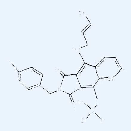 CC/C=C/COc1c2c(c(O[Si](CC)(CC)CC)c3ncccc13)C(=O)N(Cc1ccc(F)cc1)C2=O